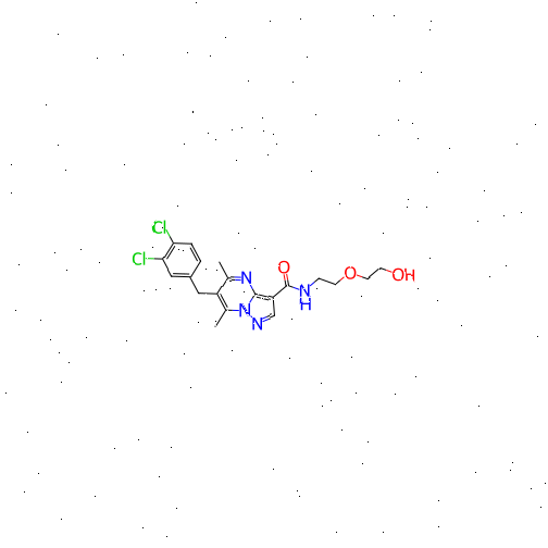 Cc1nc2c(C(=O)NCCOCCO)cnn2c(C)c1Cc1ccc(Cl)c(Cl)c1